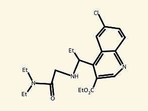 CCOC(=O)c1cnc2ccc(Cl)cc2c1C(CC)NCC(=O)N(CC)CC